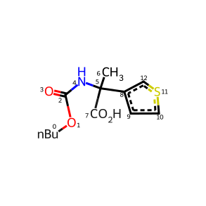 CCCCOC(=O)NC(C)(C(=O)O)c1ccsc1